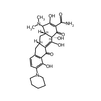 CN(C)C1C(O)=C(C(N)=O)C(=O)[C@@]2(O)C(O)=C3C(=O)c4c(ccc(N5CCCCC5)c4O)C[C@@H]3C[C@H]12